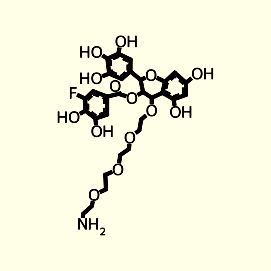 NCCOCCOCCOCCOC1c2c(O)cc(O)cc2OC(c2cc(O)c(O)c(O)c2)C1OC(=O)c1cc(O)c(O)c(F)c1